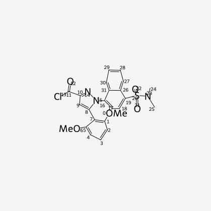 COc1cccc(OC)c1-c1cc(C(=O)Cl)nn1-c1ccc(S(=O)(=O)N(C)C)c2ccccc12